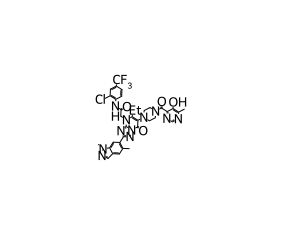 CCc1c(N2CCN(C(=O)c3ncnc(C)c3O)CC2)c(=O)n2nc(-c3cc4c(cnn4C)cc3C)nc2n1CC(=O)Nc1ccc(C(F)(F)F)cc1Cl